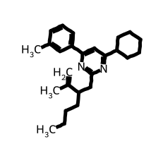 C=C(C)C(CCCC)Cc1nc(-c2cccc(C)c2)cc(C2CCCCC2)n1